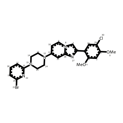 COc1cc(OC)c(-c2cn3ccc(N4CCN(c5cccc(Br)n5)CC4)cc3n2)cc1Cl